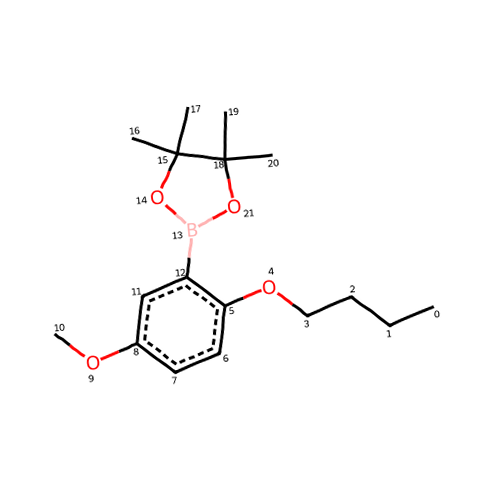 CCCCOc1ccc(OC)cc1B1OC(C)(C)C(C)(C)O1